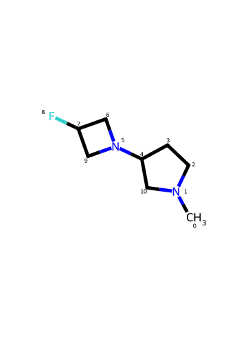 CN1CCC(N2CC(F)C2)C1